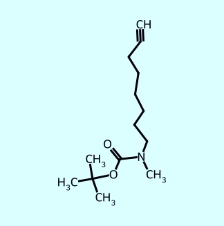 C#CCCCCCCN(C)C(=O)OC(C)(C)C